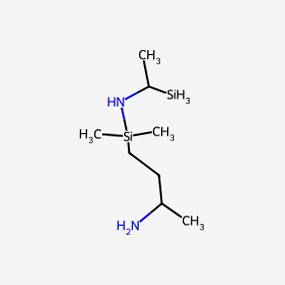 CC(N)CC[Si](C)(C)NC(C)[SiH3]